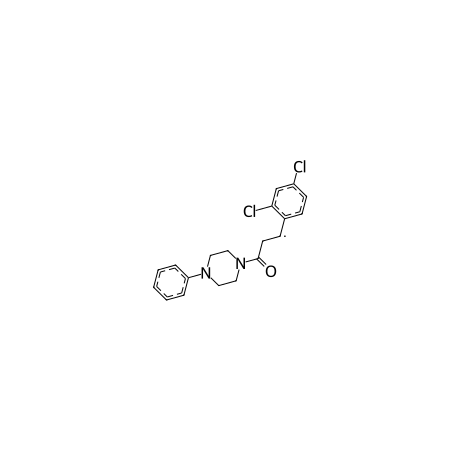 O=C(C[CH]c1ccc(Cl)cc1Cl)N1CCN(c2ccccc2)CC1